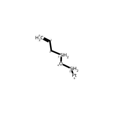 C=CC[SiH2]O[SiH2][Pt]